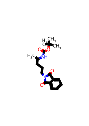 CC(CCCN1C(=O)c2ccccc2C1=O)NC(=O)OC(C)(C)C